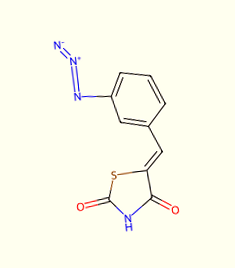 [N-]=[N+]=Nc1cccc(/C=C2\SC(=O)NC2=O)c1